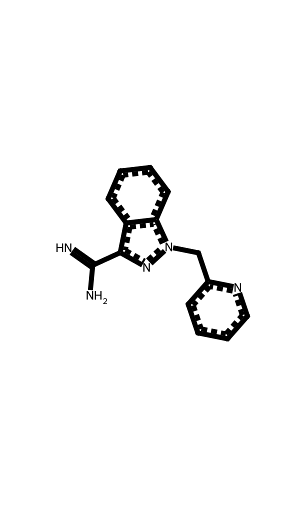 N=C(N)c1nn(Cc2ccccn2)c2ccccc12